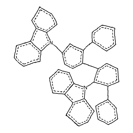 c1ccc(-c2cc(-n3c4ccccc4c4ccccc43)ccc2-c2cccc(-c3ccccc3)c2-n2c3ccccc3c3ccccc32)cc1